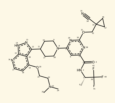 C[C@H](NC(=O)c1cc(N2CCC(c3n[nH]c4nccc(OCCN(C)C)c34)CC2)nc(OCC2(C#N)CC2)n1)C(F)(F)F